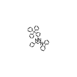 c1ccc(-c2cc(-n3c4ccccc4c4ccccc43)nc(-c3cccc(C(c4ccccc4)(c4ccccc4)c4ccccc4)c3)n2)cc1